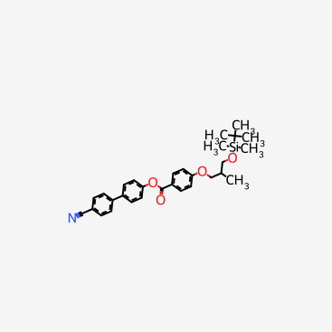 CC(COc1ccc(C(=O)Oc2ccc(-c3ccc(C#N)cc3)cc2)cc1)CO[Si](C)(C)C(C)(C)C